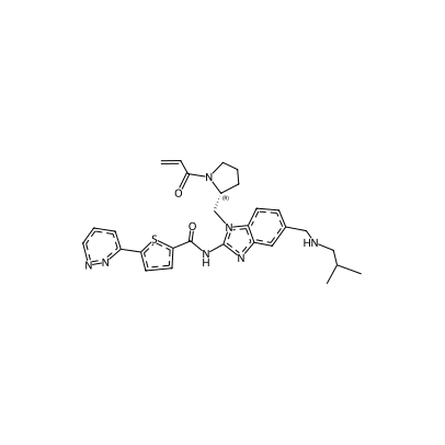 C=CC(=O)N1CCC[C@@H]1Cn1c(NC(=O)c2ccc(-c3cccnn3)s2)nc2cc(CNCC(C)C)ccc21